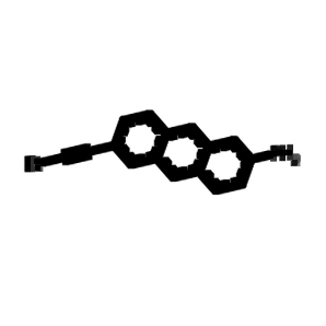 CCC#Cc1ccc2cc3cc(P)ccc3cc2c1